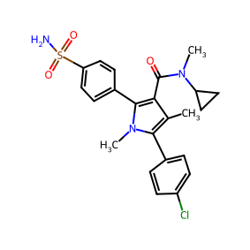 Cc1c(C(=O)N(C)C2CC2)c(-c2ccc(S(N)(=O)=O)cc2)n(C)c1-c1ccc(Cl)cc1